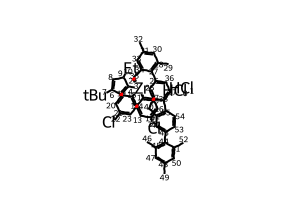 Cl.Cl.[CH2]=[Zr]([C]1=CC(C(C)(C)C)=CC1CC)([c]1ccc(Cl)cc1)([c]1ccc(Cl)cc1)[c]1c(-c2c(C)cc(C)cc2C)ccc2c1Cc1cc(-c3c(C)cc(C)cc3C)ccc1-2